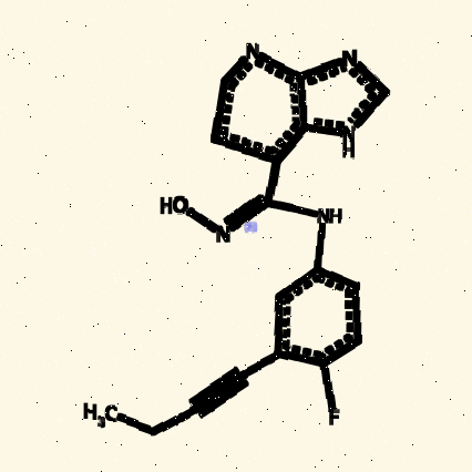 CCC#Cc1cc(N/C(=N/O)c2ccnc3nc[nH]c23)ccc1F